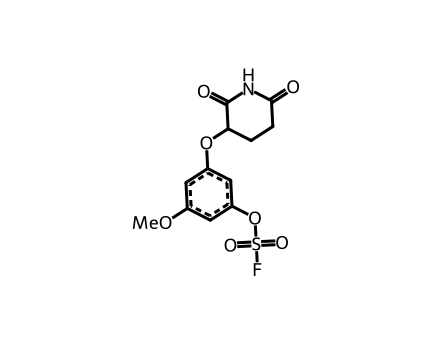 COc1cc(OC2CCC(=O)NC2=O)cc(OS(=O)(=O)F)c1